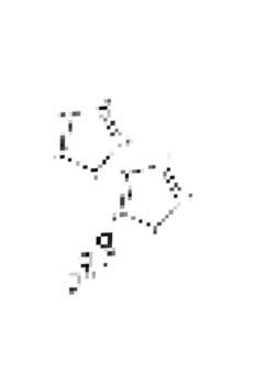 C1=CCC=C1.C1=CCC=C1.[Cl-].[Cl-].[Ti+2]